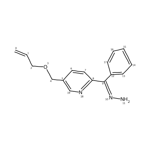 C=CCOCc1ccc(/C(=N/N)c2ccccc2)nc1